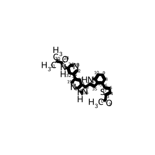 CC(=O)c1ccc(-c2cccc3[nH]c(-c4n[nH]c5ncc(-c6cncc(NC(=O)C(C)C)c6)cc45)cc23)s1